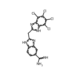 N=C(N)c1ccc2[nH]c(Cc3nc4c(Cl)c(Cl)c(Cl)c(Cl)c4[nH]3)nc2c1